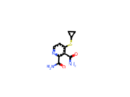 NC(=O)c1nccc(SC2CC2)c1C(N)=O